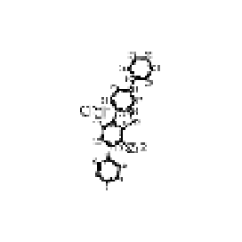 [Cl-].[Cl-].[Zr+2][c]1c(-c2ccccc2)ccc2c1Cc1cc(-c3ccccc3)ccc1-2